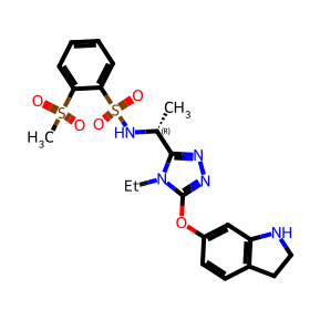 CCn1c(Oc2ccc3c(c2)NCC3)nnc1[C@@H](C)NS(=O)(=O)c1ccccc1S(C)(=O)=O